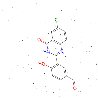 O=Cc1ccc(O)c(-c2nc3ccc(Cl)cc3c(=O)[nH]2)c1